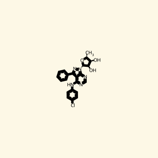 C[C@H]1O[C@@H](n2nc(-c3ccccc3)c3c(Nc4ccc(Cl)cc4)ncnc32)[C@H](O)[C@@H]1O